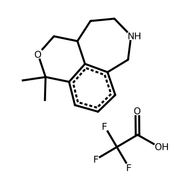 CC1(C)OCC2CCNCc3cccc1c32.O=C(O)C(F)(F)F